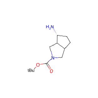 CC(C)(C)OC(=O)N1CC2CC[C@@H](N)C2C1